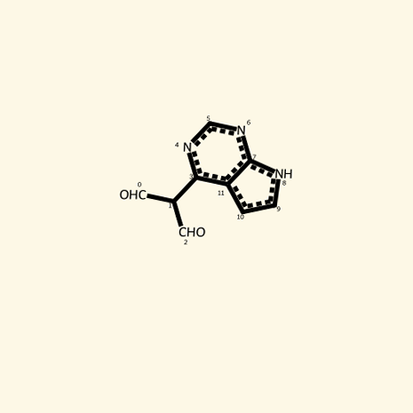 O=CC(C=O)c1ncnc2[nH]ccc12